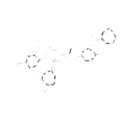 O=C(Cc1cccc(Oc2ccccc2)c1)N1CCN(c2ccc(Cl)cc2Cl)C(c2ccc(Cl)cc2)C1